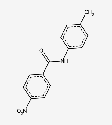 [CH2]c1ccc(NC(=O)c2ccc([N+](=O)[O-])cc2)cc1